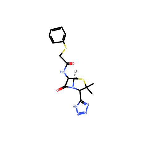 CC1(C)S[C@@H]2C(NC(=O)CSc3ccccc3)C(=O)N2C1c1nnn[nH]1